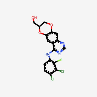 OCC1COc2cc3ncnc(Nc4ccc(Cl)c(Cl)c4F)c3cc2O1